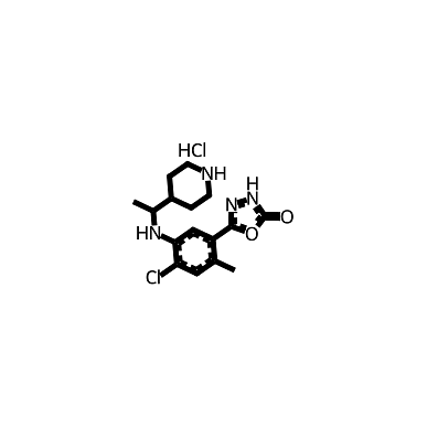 Cc1cc(Cl)c(NC(C)C2CCNCC2)cc1-c1n[nH]c(=O)o1.Cl